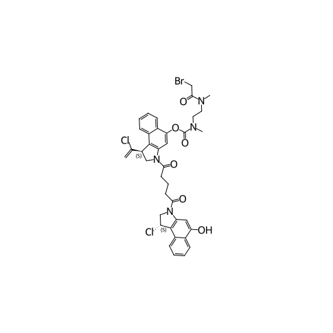 C=C(Cl)[C@@H]1CN(C(=O)CCCC(=O)N2C[C@@H](Cl)c3c2cc(O)c2ccccc32)c2cc(OC(=O)N(C)CCN(C)C(=O)CBr)c3ccccc3c21